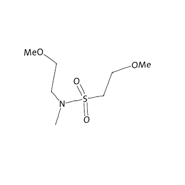 COCCN(C)S(=O)(=O)CCOC